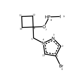 Brc1cnn(CC2(OPI)CCC2)c1